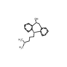 CN(C)CCCN1c2ccccc2C[C@H](O)c2ccccc21